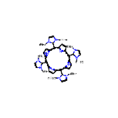 CCCCCCN1C=CN(CCCCCC)C1c1c2nc(c(C3N(CCCCCC)C=CN3CCCCCC)c3ccc([nH]3)c(C3N(CCCCCC)C=CN3CCCCCC)c3nc(c(C4N(CCCCCC)C=CN4CCCCCC)c4ccc1[nH]4)C=C3)C=C2